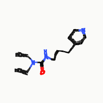 CCCCCCCCCCN(CCCCCCCCCC)C(=O)NCCCc1ccncc1